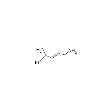 CCC(N)C=CCN